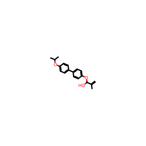 C=C(C)C(O)Oc1ccc(-c2ccc(OC(C)C)cc2)cc1